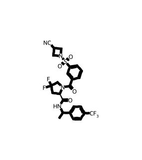 CC(NC(=O)[C@H]1CC(F)(F)CN1C(=O)c1cccc(S(=O)(=O)N2CC(C#N)C2)c1)c1ccc(C(F)(F)F)cc1